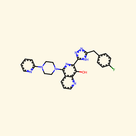 Oc1c(-c2nnc(Cc3ccc(F)cc3)[nH]2)nc(N2CCN(c3ccccn3)CC2)c2cccnc12